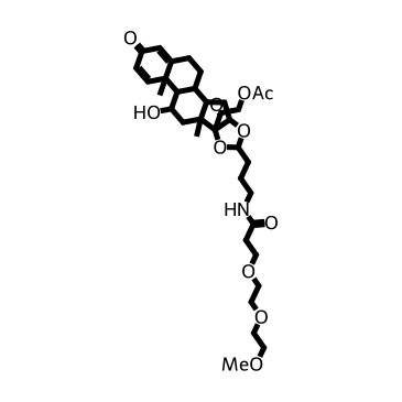 COCCOCCOCCC(=O)NCCCC1OC2CC3C4CCC5=CC(=O)C=CC5(C)C4C(O)CC3(C)C2(C(=O)COC(C)=O)O1